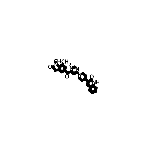 Cc1cc(C(=O)c2cc(N3CCC(c4cc5ccccc5[nH]c4=O)CC3)ncn2)cc2c1N(C)C(=O)C2